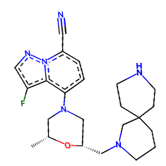 C[C@@H]1CN(c2ccc(C#N)n3ncc(F)c23)C[C@H](CN2CCCC3(CCNCC3)C2)O1